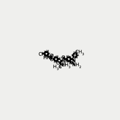 CN1CCN(c2nc(N)nc3cc(C(=O)N[C@@H](Cc4ccc(OC(=O)Nc5cccc(Cl)c5)cc4)C(=O)N(C)C)ccc23)CC1